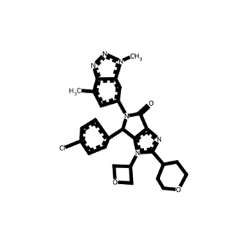 Cc1cc(N2C(=O)c3nc(C4CCOCC4)n(C4COC4)c3C2c2ccc(Cl)cc2)cc2c1nnn2C